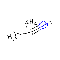 CC#N.[SiH4]